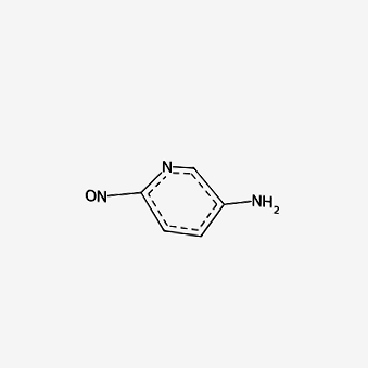 Nc1ccc(N=O)nc1